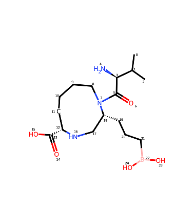 CC(C)[C@H](N)C(=O)N1CCCC[C@@H](C(=O)O)NC[C@H]1CCCB(O)O